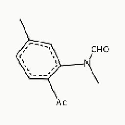 CC(=O)c1ccc(C)cc1N(C)C=O